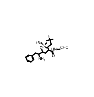 CC(C)(F)CCC(CC(O[Si](C)(C)C(C)(C)C)C(N)Cc1ccccc1)C(=O)NCC=O